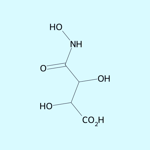 O=C(O)C(O)C(O)C(=O)NO